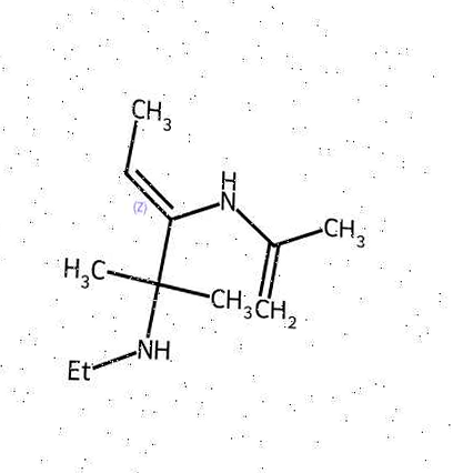 C=C(C)N/C(=C\C)C(C)(C)NCC